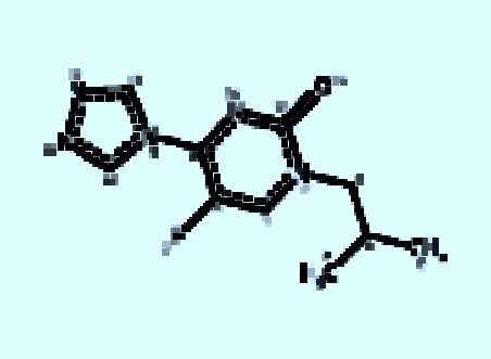 CC(C)Cn1cc(F)c(-n2cnnc2)nc1=O